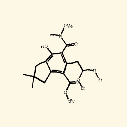 CCOC(Cc1c(C(=O)N(C)OC)c(O)c2c(c1C(=O)OC(C)(C)C)CC(C)(C)C2)OCC